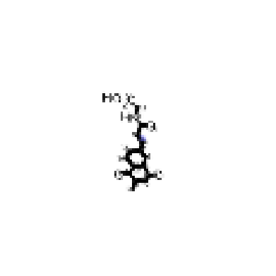 CC1=CC(=O)c2cc(/C=C/C(=O)NCC(=O)O)ccc2C1=O